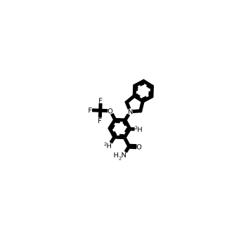 [2H]c1cc(OC(F)(F)F)c(N2Cc3ccccc3C2)c([2H])c1C(N)=O